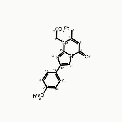 CCOC(=O)Cn1c(C)cc(=O)n2cc(-c3ccc(OC)cc3)nc12